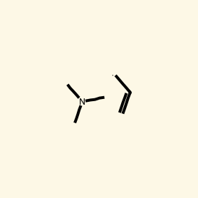 CN(C)C.[CH2]C=C